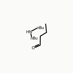 CCCC=O.CCCCNCCCC